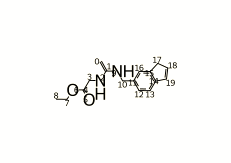 C=C(NCC(=O)OCC)NCc1ccc2c(c1)CC=C2